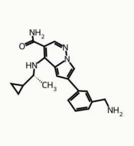 C[C@@H](Nc1c(C(N)=O)cnn2cc(-c3cccc(CN)c3)cc12)C1CC1